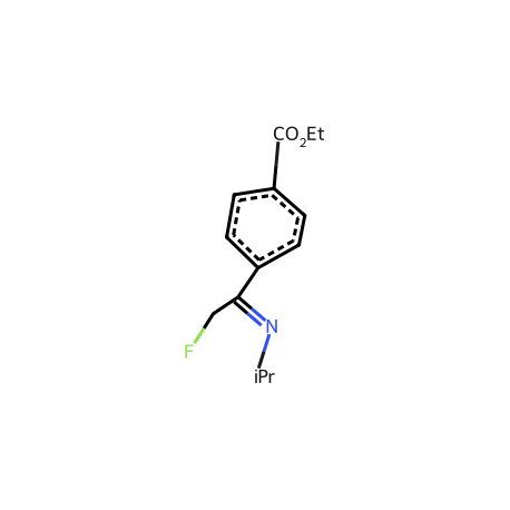 CCOC(=O)c1ccc(/C(CF)=N/C(C)C)cc1